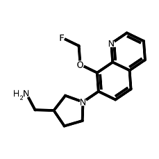 NCC1CCN(c2ccc3cccnc3c2OCF)C1